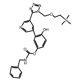 C[Si](C)(C)CCOCn1nnnc1-c1cncc(-c2cc(OC(=O)NCc3ccccc3)ccc2O)c1